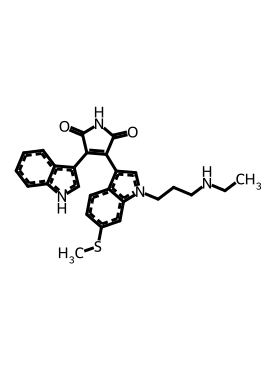 CCNCCCn1cc(C2=C(c3c[nH]c4ccccc34)C(=O)NC2=O)c2ccc(SC)cc21